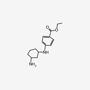 CCOC(=O)c1ccc(NC2CCCC(N)C2)cc1